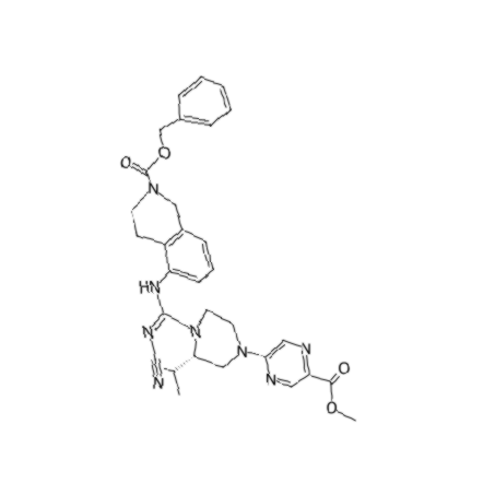 COC(=O)c1cnc(N2CCN(/C(=N\C#N)Nc3cccc4c3CCN(C(=O)OCc3ccccc3)C4)[C@@H](C(C)C)C2)cn1